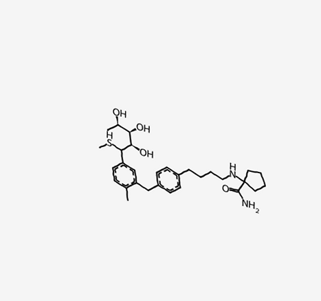 Cc1ccc(C2[C@H](O)[C@H](O)[C@H](O)C[SH]2C)cc1Cc1ccc(CCCCNC2(C(N)=O)CCCC2)cc1